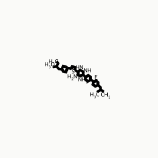 CCC(CC)Cc1ccc(-c2ccc(C3=C(N)C(N)=C(c4ccc(-c5ccc(CC(CC)CC)cc5F)cc4)C(=N)C3=N)s2)cc1